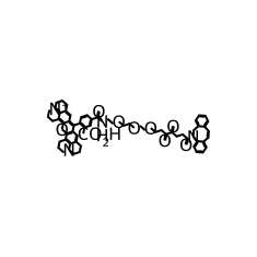 O=C(CCOCCOCCOCCNC(=O)c1ccc(C2=c3cc4c5c(c3Oc3c2cc2c6c3CCCN6CCC2)CCC[N+]=5CCC4)c(C(=O)O)c1)C(=O)CCC(=O)N1Cc2ccccc2/C=C\c2ccccc21